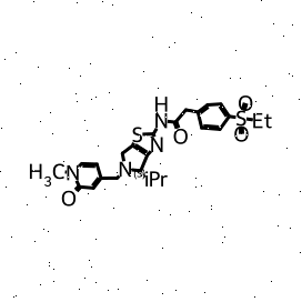 CCS(=O)(=O)c1ccc(CC(=O)Nc2nc3c(s2)CN(Cc2ccn(C)c(=O)c2)[C@H]3C(C)C)cc1